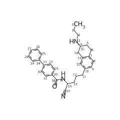 CCCN[C@H]1CCc2ccc(CCCC(C#N)NC(=O)c3ccc(-c4ccccc4)cc3)cc2C1